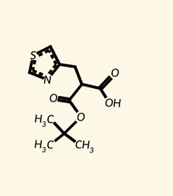 CC(C)(C)OC(=O)C(Cc1cscn1)C(=O)O